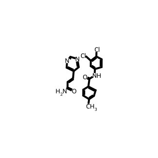 Cc1ccc(C(=O)Nc2ccc(Cl)c(Cl)c2)cc1.NC(=O)C=Cc1cncnc1